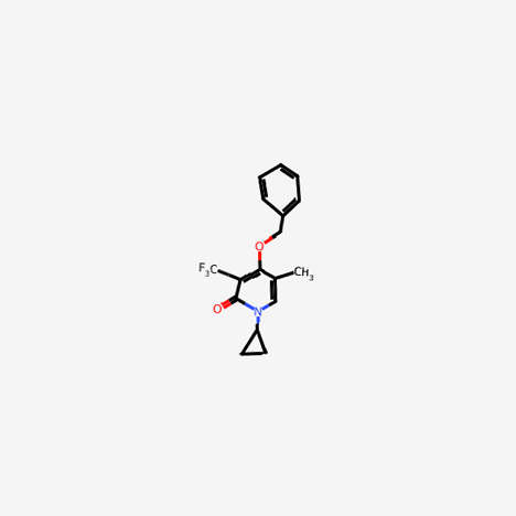 Cc1cn(C2CC2)c(=O)c(C(F)(F)F)c1OCc1ccccc1